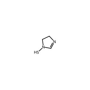 SN1C=NCC1